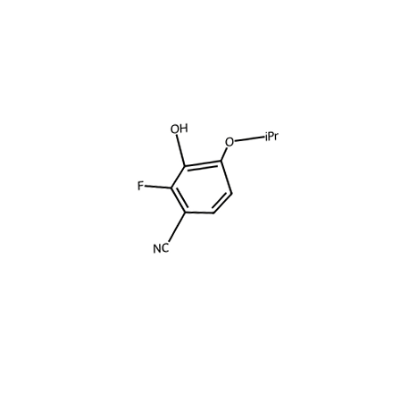 CC(C)Oc1ccc(C#N)c(F)c1O